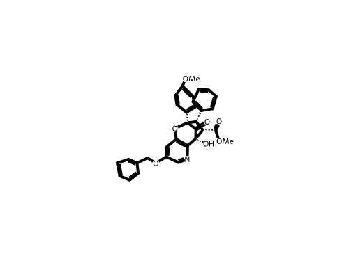 COC(=O)[C@H]1[C@@H](c2ccccc2)[C@]2(c3ccc(OC)cc3)Oc3cc(OCc4ccccc4)cnc3[C@@]1(O)C2=O